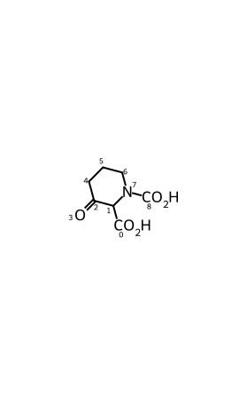 O=C(O)C1C(=O)CCCN1C(=O)O